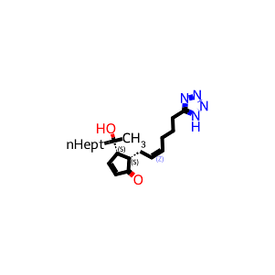 CCCCCCCC(C)(O)[C@H]1C=CC(=O)[C@H]1C/C=C\CCCc1nnn[nH]1